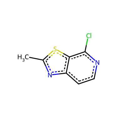 Cc1nc2ccnc(Cl)c2s1